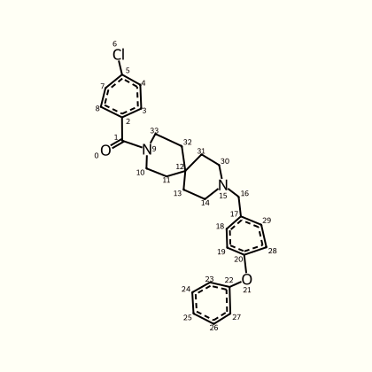 O=C(c1ccc(Cl)cc1)N1CCC2(CCN(Cc3ccc(Oc4ccccc4)cc3)CC2)CC1